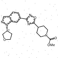 COC(=O)N1CCC(c2nc(-c3ccc4cnn([C@H]5CCOC5)c4c3)no2)CC1